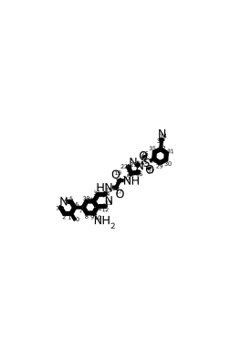 Cc1ccncc1-c1cc(N)c2cnc(NC(=O)C(=O)Nc3cnn(S(=O)(=O)c4cccc(C#N)c4)c3)cc2c1